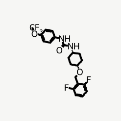 O=C(Nc1ccc(OC(F)(F)F)cc1)N[C@H]1CC[C@H](OCc2c(F)cccc2F)CC1